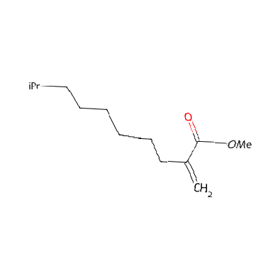 C=C(CCCCCCC(C)C)C(=O)OC